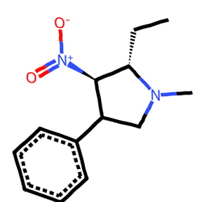 CC[C@H]1[C@H]([N+](=O)[O-])C(c2ccccc2)CN1C